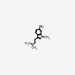 CN(C)CCc1cn(C)c2cc(C(C)(C)C)ccc12